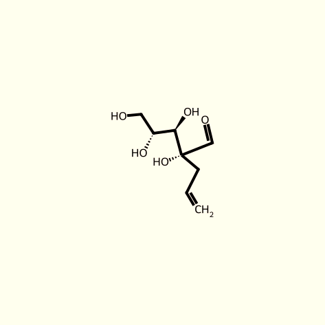 C=CC[C@](O)(C=O)[C@H](O)[C@H](O)CO